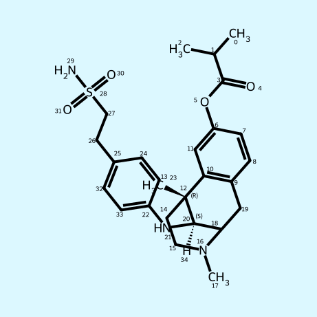 CC(C)C(=O)Oc1ccc2c(c1)[C@@]1(C)CCN(C)C(C2)[C@H]1Nc1ccc(CCS(N)(=O)=O)cc1